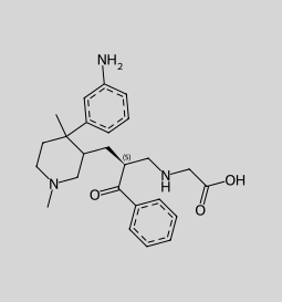 CN1CCC(C)(c2cccc(N)c2)C(C[C@@H](CNCC(=O)O)C(=O)c2ccccc2)C1